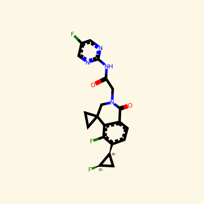 O=C(CN1CC2(CC2)c2c(ccc([C@H]3C[C@H]3F)c2F)C1=O)Nc1ncc(F)cn1